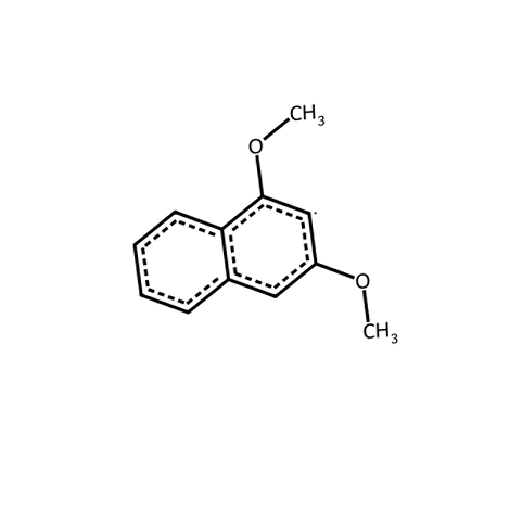 COc1[c]c(OC)c2ccccc2c1